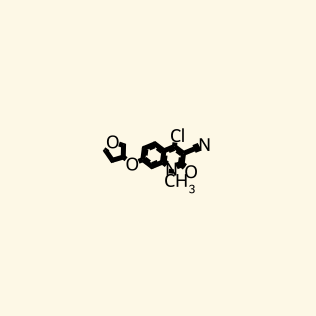 Cn1c(=O)c(C#N)c(Cl)c2ccc(OC3CCOC3)cc21